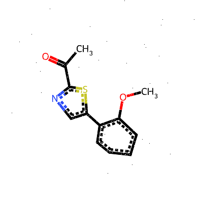 COc1ccccc1-c1cnc(C(C)=O)s1